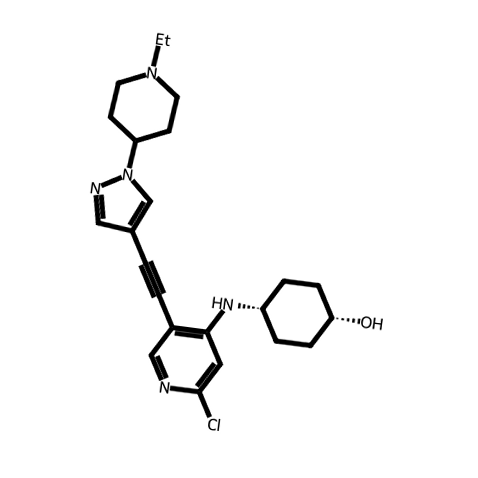 CCN1CCC(n2cc(C#Cc3cnc(Cl)cc3N[C@H]3CC[C@@H](O)CC3)cn2)CC1